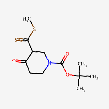 CSC(=S)C1CN(C(=O)OC(C)(C)C)CCC1=O